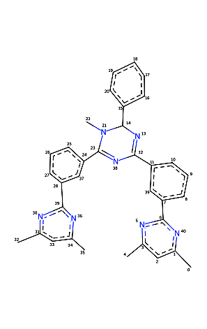 Cc1cc(C)nc(-c2cccc(C3=NC(c4ccccc4)N(C)C(c4cccc(-c5nc(C)cc(C)n5)c4)=N3)c2)n1